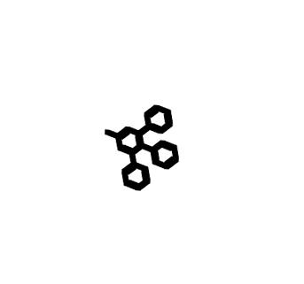 Cc1cc(-c2ccccc2)c(-c2ccccc2)c(-c2ccccc2)c1